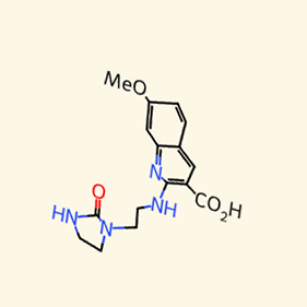 COc1ccc2cc(C(=O)O)c(NCCN3CCNC3=O)nc2c1